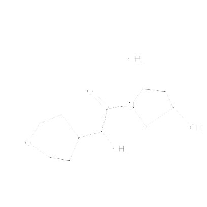 CC1C[C@@H](C)N(C(=O)C(C)C2CCOCC2)C1